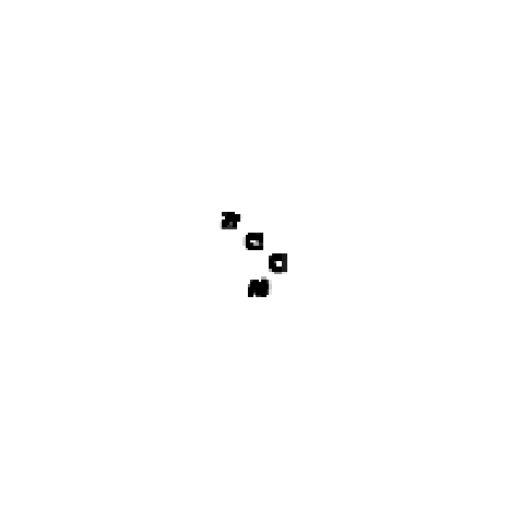 [Al].[C].[C].[Zr]